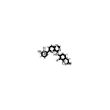 Fc1c(Nc2ncnc3ccc(N4C[C@H]5CCC4CN5)nc23)ccc(CC(F)F)c1Cl